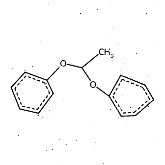 CC(Oc1[c]cc[c]c1)Oc1ccccc1